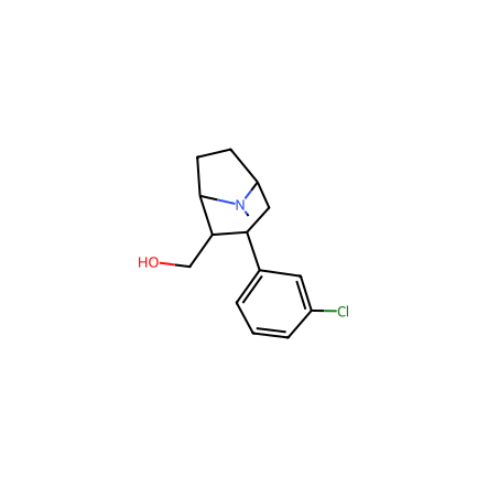 CN1C2CCC1C(CO)C(c1cccc(Cl)c1)C2